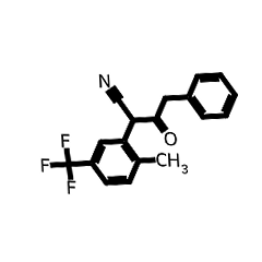 Cc1ccc(C(F)(F)F)cc1C(C#N)C(=O)Cc1ccccc1